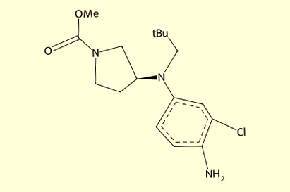 COC(=O)N1CC[C@H](N(CC(C)(C)C)c2ccc(N)c(Cl)c2)C1